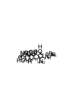 CCCCN(Cc1cc(O)c2c(c1N(C)C)CC1C[C@H]3CC(O)=C(C(N)=O)C(=O)[C@@]3(O)C(O)=C1C2=O)CC1CC1